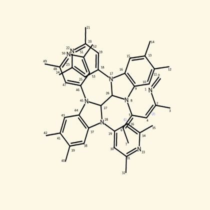 C=N/C(C)=C\C(=C/C)N1c2cc(C)c(C)cc2N(c2cc(C)nc(C)c2)C1C1N(c2cc(C)nc(C)c2)c2cc(C)c(C)cc2N1c1cc(C)nc(C)c1